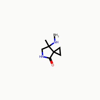 BNC1(C)CNC(=O)C12CC2